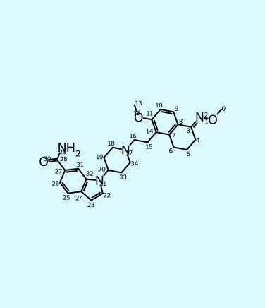 CON=C1CCCc2c1ccc(OC)c2CCN1CCC(n2ccc3ccc(C(N)=O)cc32)CC1